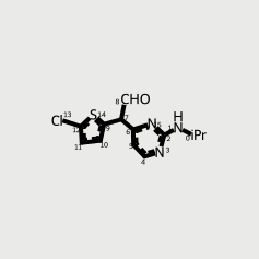 CC(C)Nc1nccc(C(C=O)c2ccc(Cl)s2)n1